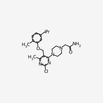 Cc1ccc(C(C)C)cc1OCc1c(C)nc(Cl)nc1N1CCN(CC(N)=O)CC1